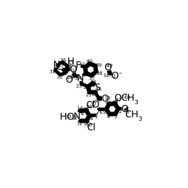 COc1ccc([C@H](Cc2c(Cl)c[n+](O)cc2Cl)OC(=O)c2cc(CN(C(=O)O[C@H]3CN4CCC3CC4)c3ccccc3F)cs2)cc1OC.O=C[O-]